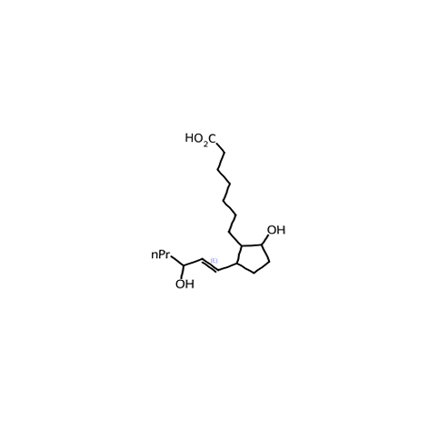 CCCC(O)/C=C/C1CCC(O)C1CCCCCCC(=O)O